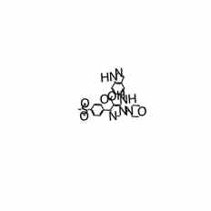 CS(=O)(=O)c1ccc(C2=NCN(N3CCOCC3)C(Nc3ccc4[nH]ncc4c3)=C2C(=O)O)cc1